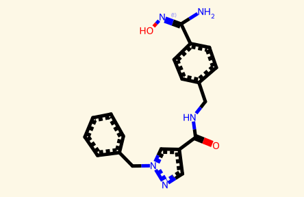 N/C(=N/O)c1ccc(CNC(=O)c2cnn(Cc3ccccc3)c2)cc1